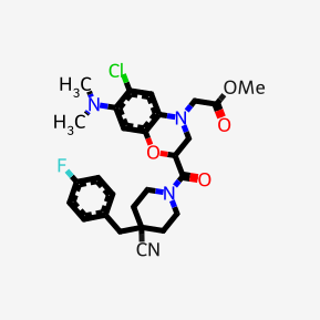 COC(=O)CN1CC(C(=O)N2CCC(C#N)(Cc3ccc(F)cc3)CC2)Oc2cc(N(C)C)c(Cl)cc21